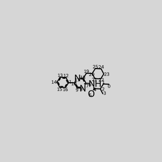 CCC(C)C(=O)Nc1ncc(-c2ccccc2)nc1CC1CCCCC1